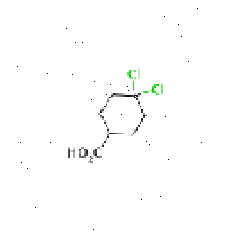 O=C(O)C1CCC(Cl)(Cl)CC1